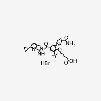 Br.CC(C)(C)c1cc(C(=O)CN2Cc3ccc(C4CC4)nc3C2=N)cc(N2CCC(C(N)=O)C2)c1OCCCCC(=O)O